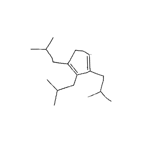 CC(C)CC1=[C]CC(CC(C)C)=C1CC(C)C